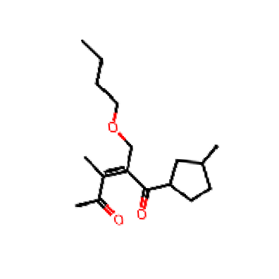 CCCCOC/C(C(=O)C1CCC(C)C1)=C(\C)C(C)=O